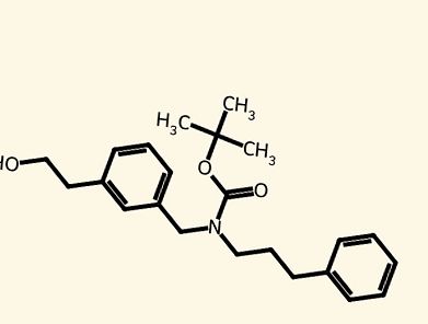 CC(C)(C)OC(=O)N(CCCc1ccccc1)Cc1cccc(CCO)c1